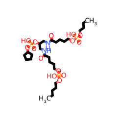 CCCCCOP(=O)(O)OCCCCC(=O)NCC(CNC(=O)CCCCOP(=O)(O)OCCCC)OP(=O)(O)OC1CCCC1